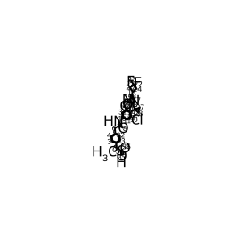 CC(c1ccc(CC(=O)Nc2cc(Cl)c(C3(c4nc(C5CC(F)(F)C5)no4)CC3)c(Cl)c2)cc1)[SH](=O)=O